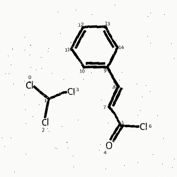 ClC(Cl)Cl.O=C(Cl)C=Cc1ccccc1